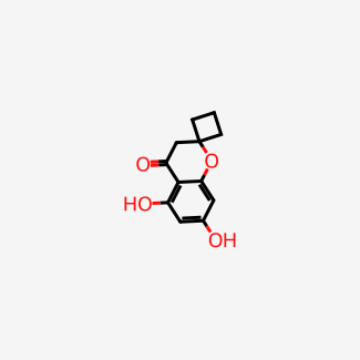 O=C1CC2(CCC2)Oc2cc(O)cc(O)c21